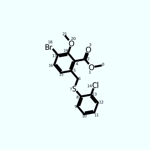 COC(=O)c1c(CSc2ccccc2Cl)ccc(Br)c1OC